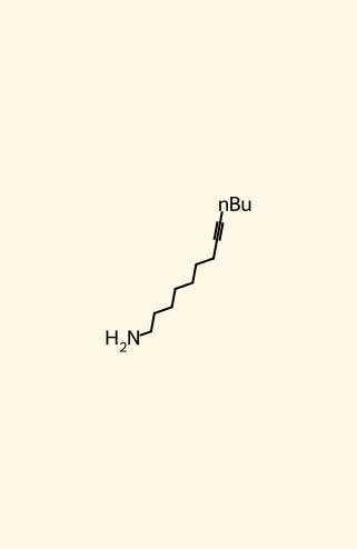 CCCCC#CCCCCCCCN